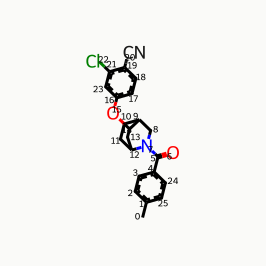 Cc1ccc(C(=O)N2CC3CCC2CC3Oc2ccc(C#N)c(Cl)c2)cc1